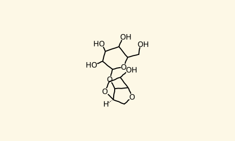 OCC1OC(OC2C3OC[C@H]2OCC3O)C(O)C(O)C1O